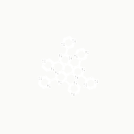 c1cnc(-c2nc(-c3cnccn3)c3c(n2)c2c(-c4cnccn4)nc(-c4cnccn4)nc2c2c(-c4cnccn4)nc(-c4cnccn4)nc32)cn1